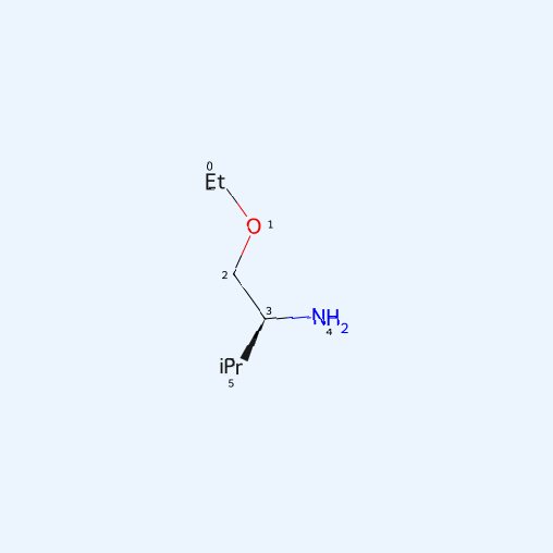 CCOC[C@@H](N)C(C)C